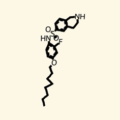 CCCCCCCCOc1ccc(NS(=O)(=O)c2ccc3c(c2)CCNC3)c(F)c1